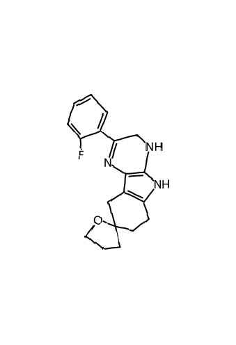 Fc1ccccc1C1=Nc2c([nH]c3c2CC2(CCCO2)CC3)NC1